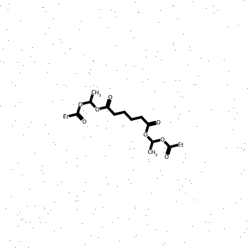 CCC(=O)OC(C)OC(=O)CCCCC(=O)OC(C)OC(=O)CC